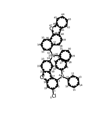 Clc1cc(N(c2ccccc2)c2ccccc2)c2c(c1)oc1ccc(N(c3ccccc3)c3cccc4c3ccc3c5ccccc5oc43)cc12